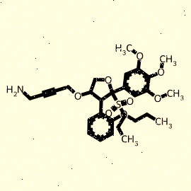 CCCOc1ccccc1C1C(OCC#CCN)COC1(c1cc(OC)c(OC)c(OC)c1)S(=O)(=O)CCC